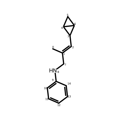 C/C(=C\C1C2CC12)CNc1ccccc1